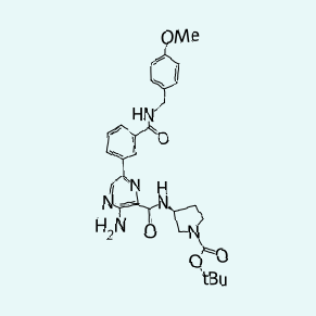 COc1ccc(CNC(=O)c2cccc(-c3cnc(N)c(C(=O)N[C@H]4CCN(C(=O)OC(C)(C)C)C4)n3)c2)cc1